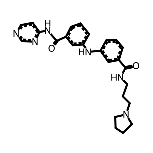 O=C(NCCCN1CCCC1)c1cccc(Nc2cccc(C(=O)Nc3ccncn3)c2)c1